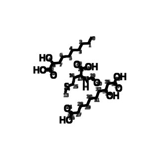 CCCCCCCCC(O)C(=O)O.CSCCC(NC=O)C(=O)O.O=C(O)CCCCCCC(O)CC(=O)O